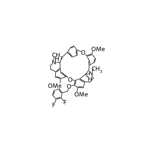 COc1ccc2cc1Oc1ccc(cc1)C[C@H]1c3cc(c(OC)cc3CCN1C)Oc1c(OCc3cccc(F)c3F)c(OC)cc3c1[C@H](C2)N(C)CC3